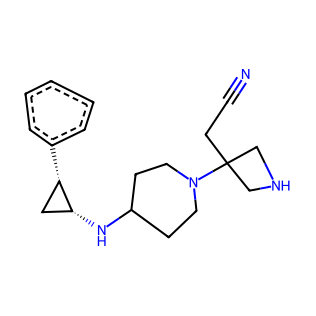 N#CCC1(N2CCC(N[C@@H]3C[C@@H]3c3ccccc3)CC2)CNC1